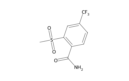 CS(=O)(=O)c1cc(C(F)(F)F)ccc1C(N)=O